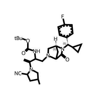 C=C(C(CN1C[C@@H]2CC1C(=O)N2[C@H](c1ccc(F)cc1)C1CC1)NC(=O)OC(C)(C)C)N1CC(C)CC1C#N